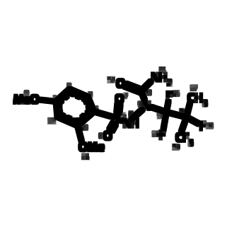 COc1ccc(S(=O)(=O)NN(C(N)=O)C(F)(F)C(C)(F)C(F)(F)F)c(OC)c1